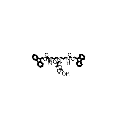 CO[C@@H](CO)OC(C)[C@@H](O)[C@H](C)N(CCCNC(=O)OCC1c2ccccc2-c2ccccc21)CCCNC(=O)OCC1c2ccccc2-c2ccccc21